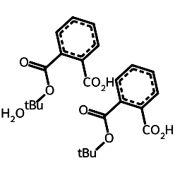 CC(C)(C)OC(=O)c1ccccc1C(=O)O.CC(C)(C)OC(=O)c1ccccc1C(=O)O.O